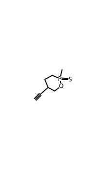 C#CC1CCP(C)(=S)OC1